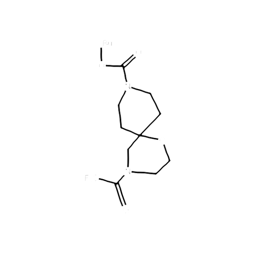 CC(C)(C)OC(=O)N1CCC2(CC1)CN(C(=O)C(F)(F)F)CCO2